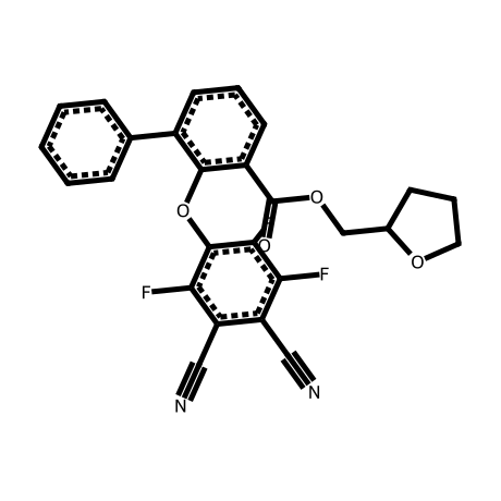 N#Cc1c(F)c(F)c(Oc2c(C(=O)OCC3CCCO3)cccc2-c2ccccc2)c(F)c1C#N